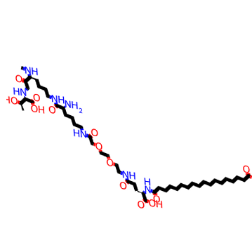 CN[C@@H](CCCCNC(=O)[C@@H](N)CCCCNC(=O)COCCOCCNC(=O)CC[C@H](NC(=O)CCCCCCCCCCCCCCCCC(=O)O)C(=O)O)C(=O)CN[C@H](C(=O)O)[C@@H](C)O